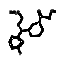 CCOC(=O)CO[C@@H](c1cccc(F)c1)[C@@H]1CCCN(C(=O)OC(C)(C)C)C1